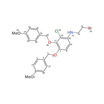 COc1ccc(COc2ccc(NCCBr)c(Cl)c2OCc2ccc(OC)cc2)cc1